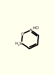 C1=C[SiH2]ON=C1.Cl